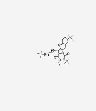 CCOC(=O)c1c(NCCO[Si](C)(C)C(C)(C)C)c2nc3c(cc2n1C(=O)OC(C)(C)C)CC(C(C)(C)C)CC3